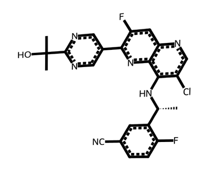 C[C@@H](Nc1c(Cl)cnc2cc(F)c(-c3cnc(C(C)(C)O)nc3)nc12)c1cc(C#N)ccc1F